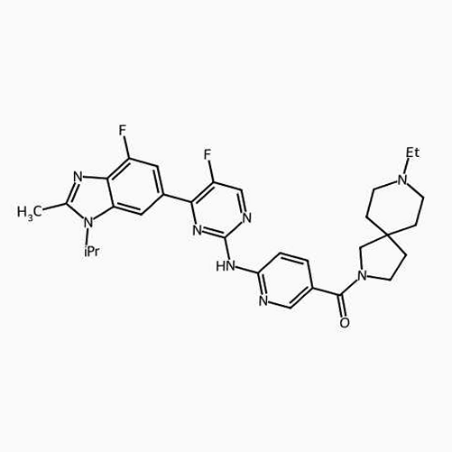 CCN1CCC2(CC1)CCN(C(=O)c1ccc(Nc3ncc(F)c(-c4cc(F)c5nc(C)n(C(C)C)c5c4)n3)nc1)C2